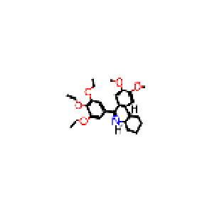 CCOc1cc(C2=N[C@@H]3CCCC[C@@H]3c3cc(OC)c(OC)cc32)cc(OCC)c1OCC